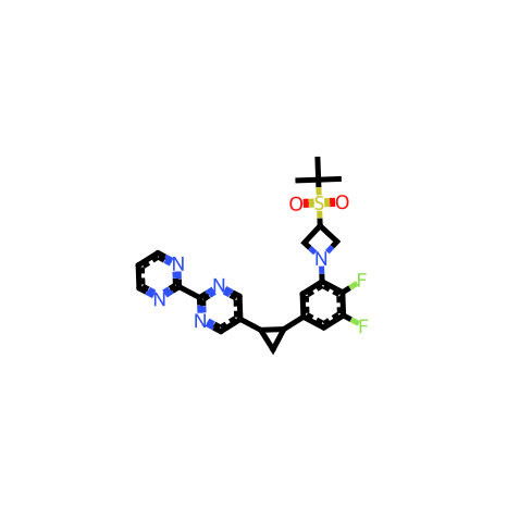 CC(C)(C)S(=O)(=O)C1CN(c2cc(C3CC3c3cnc(-c4ncccn4)nc3)cc(F)c2F)C1